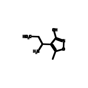 Cc1onc(O)c1C(N)CC(=O)O